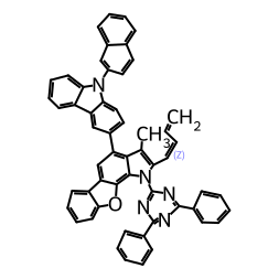 C=C/C=C\c1c(C)c2c(-c3ccc4c(c3)c3ccccc3n4-c3ccc4ccccc4c3)cc3c4ccccc4oc3c2n1-c1nc(-c2ccccc2)nc(-c2ccccc2)n1